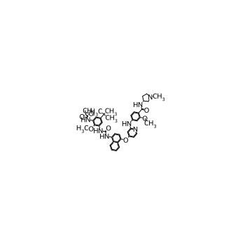 COc1cc(Nc2cc(Oc3ccc(NC(=O)Nc4cc(C(C)(C)C)cc(NS(C)(=O)=O)c4OC)c4ccccc34)ccn2)ccc1C(=O)N[C@@H]1CCN(C)C1